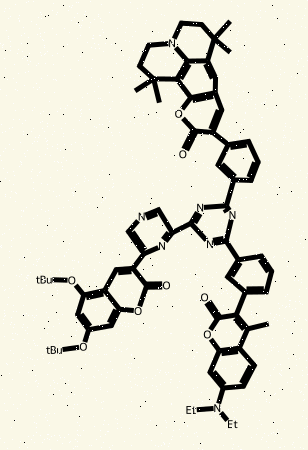 CCN(CC)c1ccc2c(C)c(-c3cccc(-c4nc(-c5cccc(-c6cc7cc8c9c(c7oc6=O)C(C)(C)CCN9CCC8(C)C)c5)nc(-c5cncc(-c6cc7c(OC(C)(C)C)cc(OC(C)(C)C)cc7oc6=O)n5)n4)c3)c(=O)oc2c1